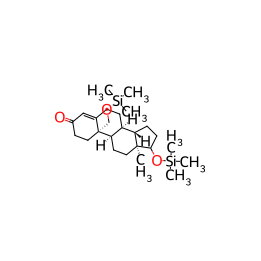 C[C@]12CC[C@@H]3[C@@H](CCC4=CC(=O)CC[C@@]43CO[Si](C)(C)C)[C@@H]1CCC2O[Si](C)(C)C